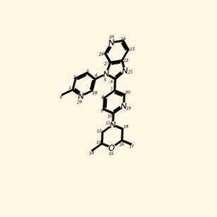 Cc1ccc(-n2c(-c3ccc(N4CC(C)OC(C)C4)nc3)nc3ccncc32)cn1